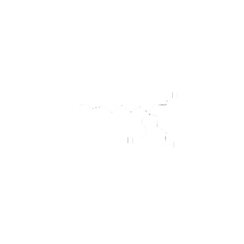 CCCCCCCC[N+](CCC)(CCC)CCCC